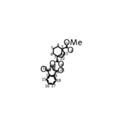 COC(=O)C12CCCC(C(=O)ON3C(=O)c4ccccc4C3=O)(CC1)C2